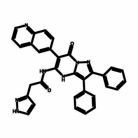 O=C(Cc1cc[nH]n1)Nc1[nH]c2c(-c3ccccc3)c(-c3ccccc3)nn2c(=O)c1-c1ccc2ncccc2c1